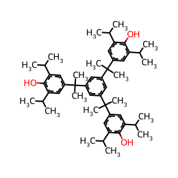 CC(C)c1cc(C(C)(C)c2cc(C(C)(C)c3cc(C(C)C)c(O)c(C(C)C)c3)cc(C(C)(C)c3cc(C(C)C)c(O)c(C(C)C)c3)c2)cc(C(C)C)c1O